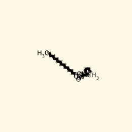 CCCCCCCCCCCCCCCCOP(=O)(O)OCC[N+]1(C)CCCC1